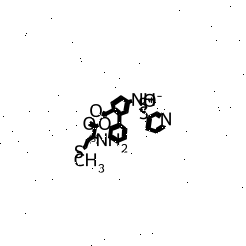 CSCC[C@H](N)C(=O)OC(=O)c1ccc(N[S+]([O-])Sc2cccnc2)cc1-c1ccccc1